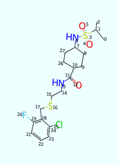 CC(C)S(=O)(=O)NC1CCC(C(=O)NCCSCc2c(F)cccc2Cl)CC1